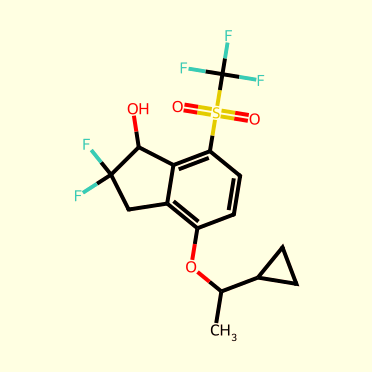 CC(Oc1ccc(S(=O)(=O)C(F)(F)F)c2c1CC(F)(F)C2O)C1CC1